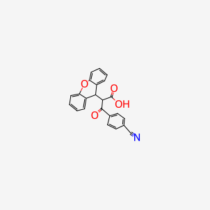 N#Cc1ccc(C(=O)C(C(=O)O)C2c3ccccc3Oc3ccccc32)cc1